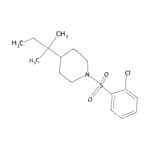 CCC(C)(C)C1CCN(S(=O)(=O)c2ccccc2Cl)CC1